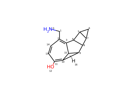 NCC1=C2C3C4CC4C3C3C(=C(O)C=C1)[C@@H]23